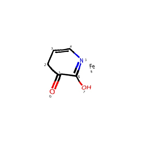 O=C1CC=CN=C1O.[Fe]